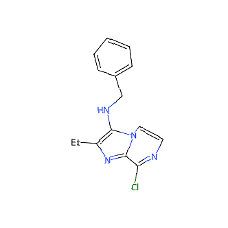 CCc1nc2c(Cl)nccn2c1NCc1ccccc1